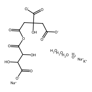 O.O.O.O.O=C([O-])CC(O)(CC(=O)OC(=O)C(O)C(O)C(=O)[O-])C(=O)[O-].[K+].[Na+].[Na+]